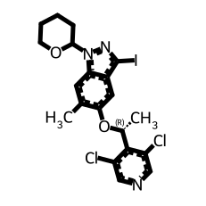 Cc1cc2c(cc1O[C@H](C)c1c(Cl)cncc1Cl)c(I)nn2C1CCCCO1